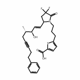 C[C@@H](CC#CCCc1ccccc1)[C@H](O)C=CC1CC(F)(F)C(=O)N1CCCc1ccc(C(=O)O)s1